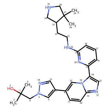 CC(C)(O)Cn1cc(-c2ccc3ncc(-c4cccc(NCCC5CNCC5(C)C)n4)n3c2)cn1